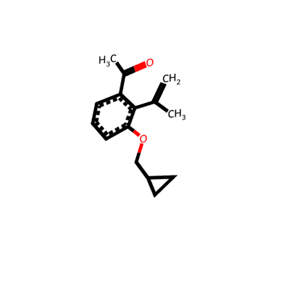 C=C(C)c1c(OCC2CC2)cccc1C(C)=O